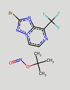 CC(C)(C)ON=O.FC(F)(F)c1nccn2nc(Br)nc12